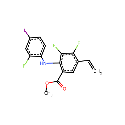 C=Cc1cc(C(=O)OC)c(Nc2ccc(I)cc2F)c(F)c1F